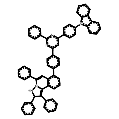 C1=C(c2ccccc2)N2NC(c3ccccc3)C(c3ccccc3)=C2c2cccc(-c3ccc(-c4cc(-c5ccc(-n6c7ccccc7c7ccccc76)cc5)nc(-c5ccccc5)n4)cc3)c21